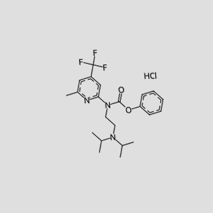 Cc1cc(C(F)(F)F)cc(N(CCN(C(C)C)C(C)C)C(=O)Oc2ccccc2)n1.Cl